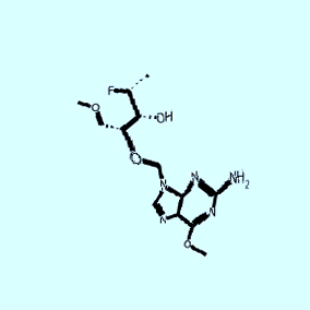 COC[C@@H](OCN1C=NC2C(OC)=NC(N)=NC21)[C@@H](O)[C@@H](C)F